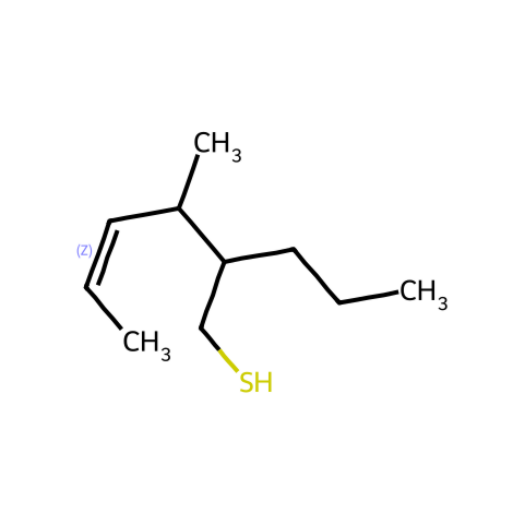 C/C=C\C(C)C(CS)CCC